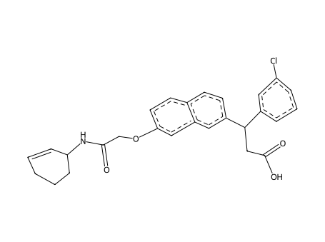 O=C(O)CC(c1cccc(Cl)c1)c1ccc2ccc(OCC(=O)NC3C=CCCC3)cc2c1